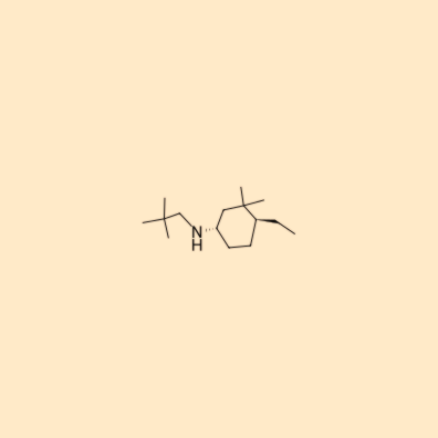 CC[C@H]1CC[C@H](NCC(C)(C)C)CC1(C)C